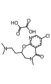 CN(C)CCC1CN(C)C(=O)c2cc(Cl)cnc2O1.O=C(O)C(=O)O